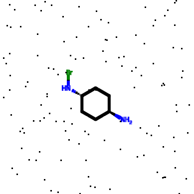 N[C@H]1CC[C@H](NBr)CC1